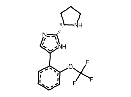 FC(F)(F)Oc1ccccc1-c1cnc([C@@H]2CCCN2)[nH]1